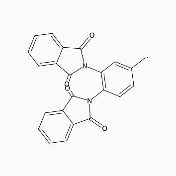 [CH2]c1ccc(N2C(=O)c3ccccc3C2=O)c(N2C(=O)c3ccccc3C2=O)c1